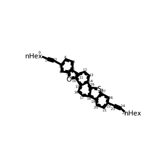 CCCCCCC#Cc1ccc2c(c1)oc1c2ccc2c1ccc1c3ccc(C#CCCCCCC)cc3sc12